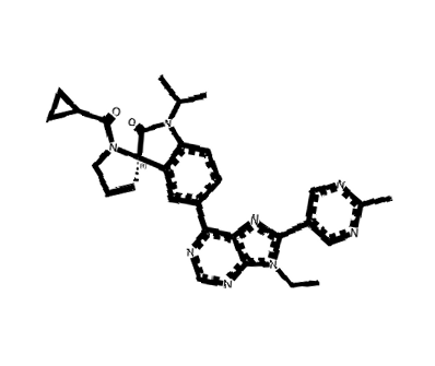 CCn1c(-c2cnc(C)nc2)nc2c(-c3ccc4c(c3)[C@]3(CCCN3C(=O)C3CC3)C(=O)N4C(C)C)ncnc21